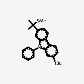 CSC(C)(C)c1ccc2c3ccc(C(C)(C)C)cc3n(-c3ccccc3)c2c1